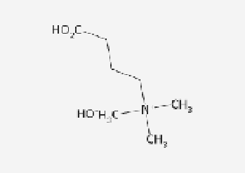 C[N+](C)(C)CCCC(=O)O.[OH-]